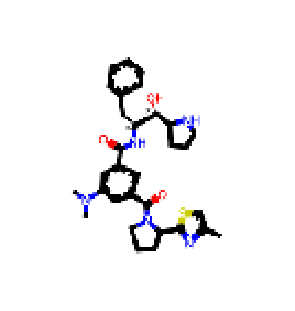 Cc1csc(C2CCCN2C(=O)c2cc(C(=O)N[C@@H](Cc3ccccc3)[C@H](O)C3CCCN3)cc(N(C)C)c2)n1